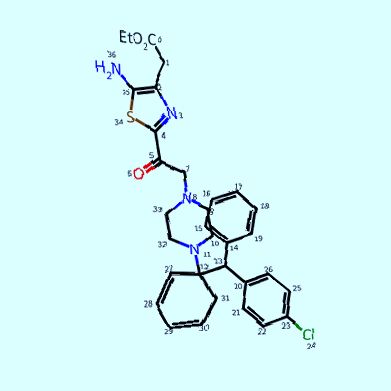 CCOC(=O)Cc1nc(C(=O)CN2CCN(C3(C(c4ccccc4)c4ccc(Cl)cc4)C=CC=CC3)CC2)sc1N